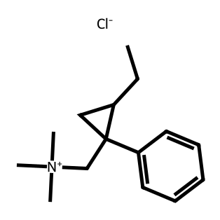 CCC1CC1(C[N+](C)(C)C)c1ccccc1.[Cl-]